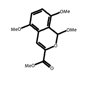 COC(=O)C1=Cc2c(OC)ccc(OC)c2C(OC)O1